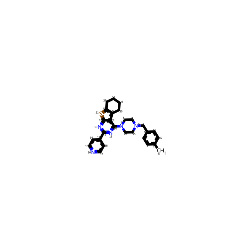 Cc1ccc(CN2CCN(c3nc(-c4ccncc4)nc4sc5c(c34)CCCC5)CC2)cc1